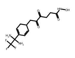 NC(N)(C1=CCC(CC(=O)C(=O)CCC(=O)NO)C=C1)C(F)(F)F